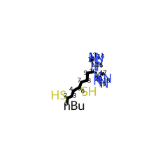 CCCCC(S)CCC(S)CCCC(n1cnnn1)n1cnnn1